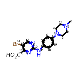 CN1CCN(c2ccc(Nc3ncc(Br)c(C(=O)O)n3)cc2)CC1